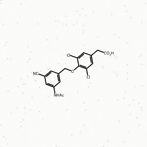 CC(=O)Nc1cc(C#N)cc(COc2c(Cl)cc(CC(=O)O)cc2Cl)c1